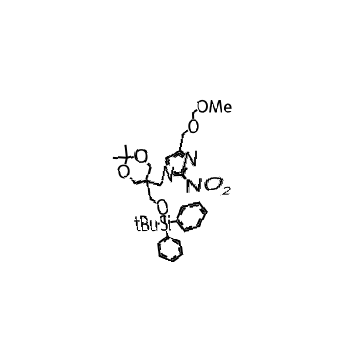 COCOCc1cn(CC2(CO[Si](c3ccccc3)(c3ccccc3)C(C)(C)C)COC(C)(C)OC2)c([N+](=O)[O-])n1